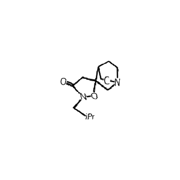 CC(C)CN1OC2(CC1=O)CN1CCC2CC1